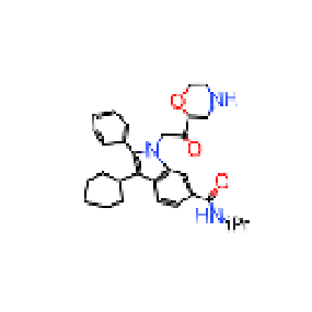 CC(C)NC(=O)c1ccc2c(C3CCCCC3)c(-c3ccccc3)n(CC(=O)C3CNCCO3)c2c1